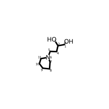 OCC(O)CCN1CCCCC1